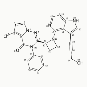 O=c1c2c(Cl)ccn2nc([C@@H]2CCN2c2ncnc3[nH]cc(C#CCO)c23)n1-c1ccccc1